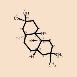 CC[C@@]1(O)CC[C@H]2[C@@H](CC[C@H]3CC(C)(C)CC[C@@H]32)C1